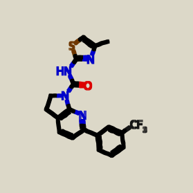 Cc1csc(NC(=O)N2CCc3ccc(-c4cccc(C(F)(F)F)c4)nc32)n1